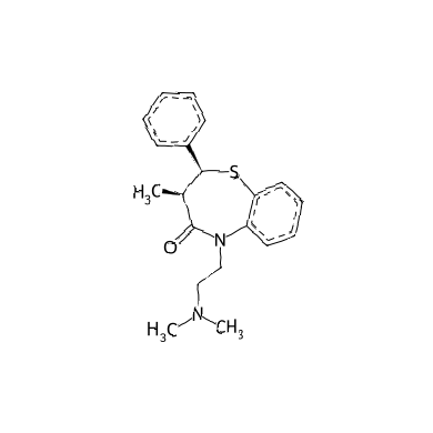 C[C@@H]1C(=O)N(CCN(C)C)c2ccccc2S[C@@H]1c1ccccc1